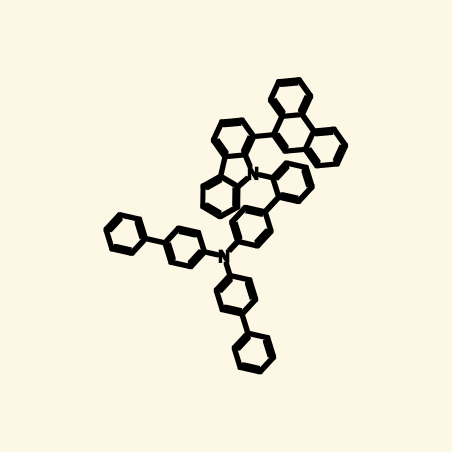 c1ccc(-c2ccc(N(c3ccc(-c4ccccc4)cc3)c3ccc(-c4ccccc4-n4c5ccccc5c5cccc(-c6cc7ccccc7c7ccccc67)c54)cc3)cc2)cc1